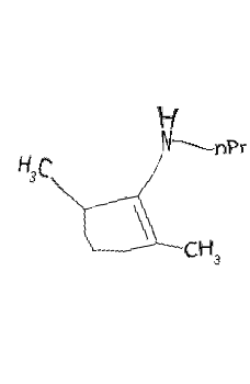 CCCNC1=C(C)CC1C